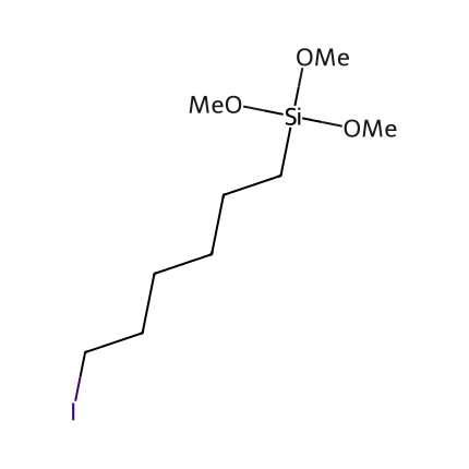 CO[Si](CCCCCCI)(OC)OC